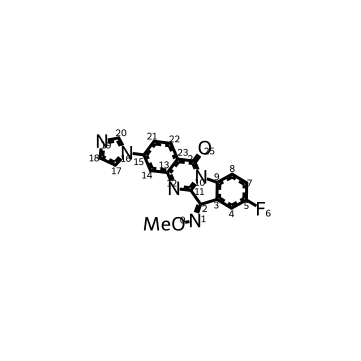 CO/N=C1/c2cc(F)ccc2-n2c1nc1cc(-n3ccnc3)ccc1c2=O